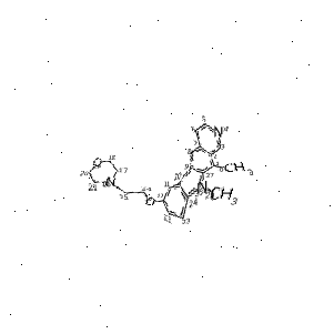 Cc1c2cnccc2cc2c3cc(OCCN4CCOCC4)ccc3n(C)c12